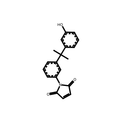 CC(C)(c1cccc(O)c1)c1cccc(N2C(=O)C=CC2=O)c1